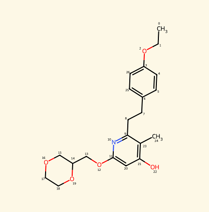 CCOc1ccc(CCc2nc(OCC3COCCO3)cc(O)c2C)cc1